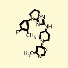 Cc1cc(N2CCC(Nc3nc4n(n3)CCCN4c3ccc(F)c(C)c3)CC2)ncn1